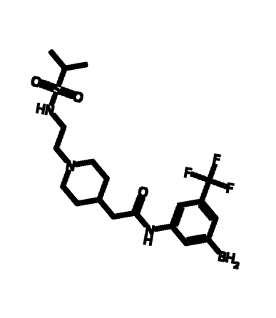 Bc1cc(NC(=O)CC2CCN(CCNS(=O)(=O)C(C)C)CC2)cc(C(F)(F)F)c1